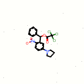 O=C(OC(c1ccccc1)c1cc(N2CCCC2)ccc1[N+](=O)[O-])C(Cl)(Cl)Cl